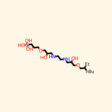 CCCCC(CC)COCC(O)CNCCNCC(O)COCCC[Si](O)(O)O